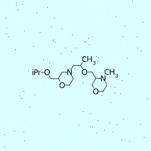 CC(C)OCC1CN(CC(C)OCC2COCCN2C)CCO1